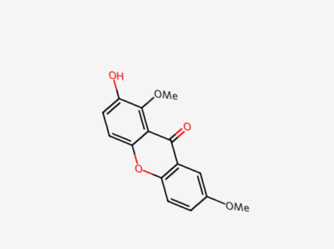 COc1ccc2oc3ccc(O)c(OC)c3c(=O)c2c1